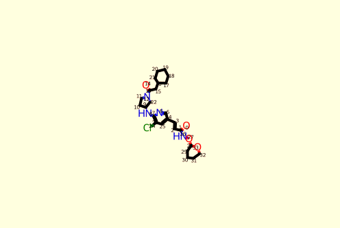 O=C(C=Cc1cnc(N[C@@H]2CCN(C(=O)CC3CCCCC3)C2)c(Cl)c1)NOC1CCCCO1